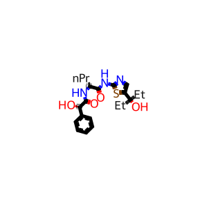 CCC[C@H](NC(=O)[C@H](O)c1ccccc1)C(=O)Nc1ncc(C(O)(CC)CC)s1